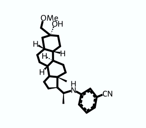 COC[C@@]1(O)CC[C@H]2[C@H](CC[C@H]3C4CC[C@H]([C@H](C)Nc5cccc(C#N)c5)[C@@]4(C)CC[C@H]23)C1